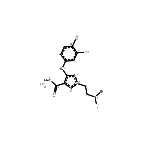 CCN(CC)CCn1nc(Nc2ccc(Cl)c(Cl)c2)c(C(=O)OC)n1.Cl